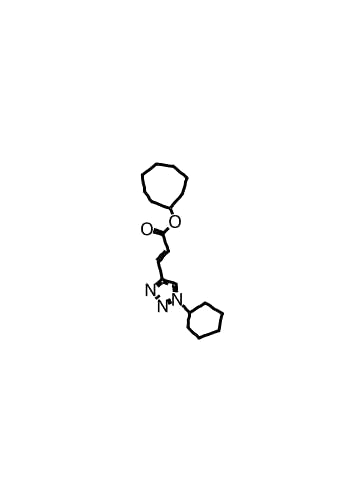 O=C(/C=C/c1cn(C2CCCCC2)nn1)OC1CCCCCCC1